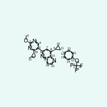 COc1ncc(-c2cc([C@H]3C[C@@H]3c3ccc(OC(F)(F)F)cc3)c3nccn3n2)c(OC)n1